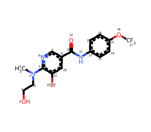 CN(CCO)c1ncc(C(=O)Nc2ccc(OC(F)(F)F)cc2)cc1Br